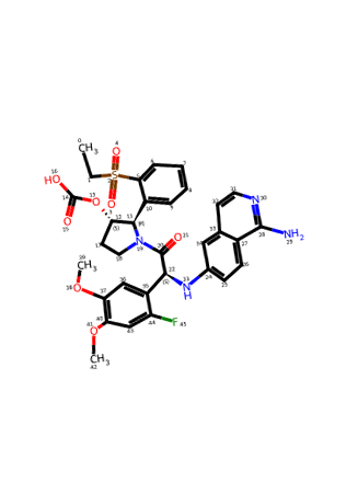 CCS(=O)(=O)c1ccccc1[C@@H]1[C@@H](OC(=O)O)CCN1C(=O)[C@@H](Nc1ccc2c(N)nccc2c1)c1cc(OC)c(OC)cc1F